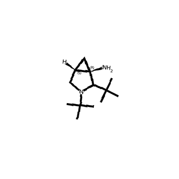 CC(C)(C)C1N(C(C)(C)C)C[C@@H]2C[C@]12N